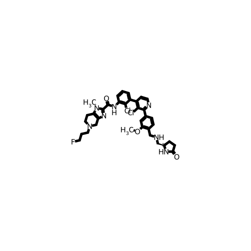 COc1cc(-c2nccc(-c3cccc(NC(=O)c4nc5c(n4C)CCN(CCCF)C5)c3Cl)c2Cl)ccc1CNC[C@H]1CCC(=O)N1